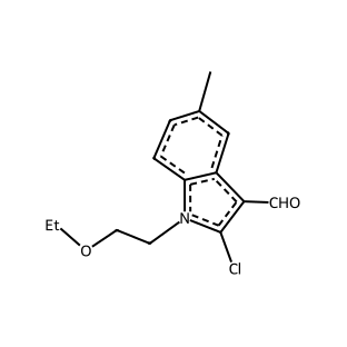 CCOCCn1c(Cl)c(C=O)c2cc(C)ccc21